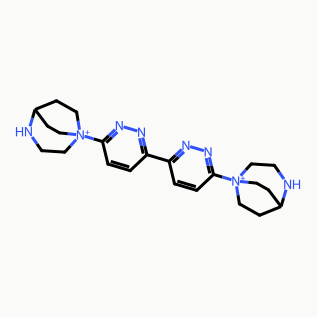 c1cc([N+]23CCNC(CC2)CC3)nnc1-c1ccc([N+]23CCNC(CC2)CC3)nn1